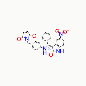 O=C1Nc2ccc([N+](=O)[O-])cc2/C1=C(/Nc1ccc(CN2C(=O)C=CC2=O)cc1)c1ccccc1